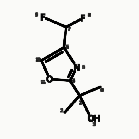 CC(C)(O)c1nc(C(F)F)co1